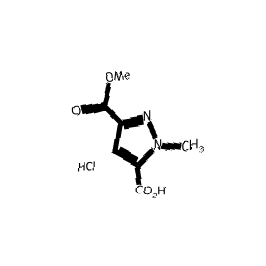 COC(=O)c1cc(C(=O)O)n(C)n1.Cl